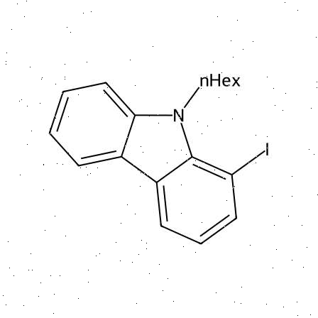 CCCCCCn1c2ccccc2c2cccc(I)c21